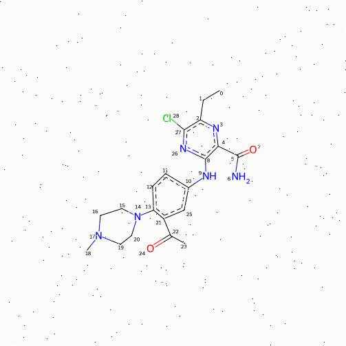 CCc1nc(C(N)=O)c(Nc2ccc(N3CCN(C)CC3)c(C(C)=O)c2)nc1Cl